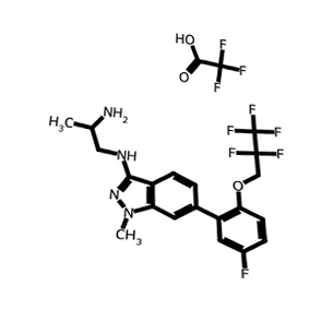 CC(N)CNc1nn(C)c2cc(-c3cc(F)ccc3OCC(F)(F)C(F)(F)F)ccc12.O=C(O)C(F)(F)F